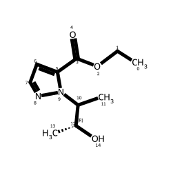 CCOC(=O)c1ccnn1C(C)[C@@H](C)O